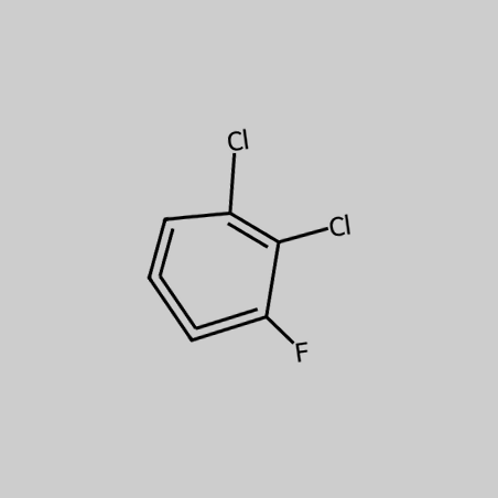 FC1=C=C=CC(Cl)=C1Cl